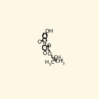 C[Si](C)(C)CCOCN1C(=O)CCC(N2Cc3cc(O)ccc3C2=O)C1=O